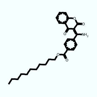 CCCCCCCCCCCOC(=O)c1ccc(/C(N)=C2/C(=O)Oc3ccccc3C2=O)cc1